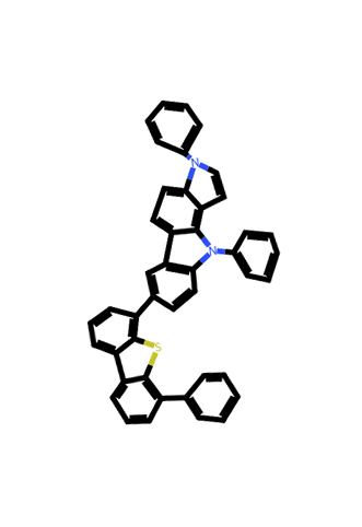 c1ccc(-c2cccc3c2sc2c(-c4ccc5c(c4)c4ccc6c(ccn6-c6ccccc6)c4n5-c4ccccc4)cccc23)cc1